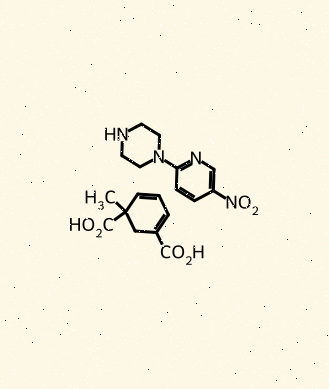 CC1(C(=O)O)C=CC=C(C(=O)O)C1.O=[N+]([O-])c1ccc(N2CCNCC2)nc1